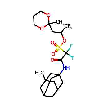 CC12CC3CC(C1)CC(NC(=O)C(F)(F)S(=O)(=O)OC(CC1(C)OCCCO1)C(F)(F)F)(C3)C2